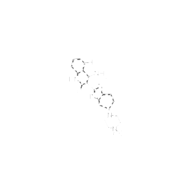 [CH2-][N+]1(C)CCN(c2ccc3nc(-c4c(N)c5c(F)cccc5[nH]c4=O)[nH]c3c2)CC1